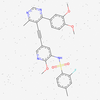 COc1ccc(-c2ncnc(C)c2C#Cc2cnc(OC)c(NS(=O)(=O)c3ccc(C)cc3F)c2)cc1OC